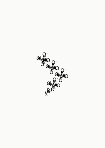 [O]=[Mn](=[O])([O-])[O-].[O]=[Mn](=[O])([O-])[O-].[O]=[Mn](=[O])([O-])[O-].[O]=[Mn](=[O])([O-])[O-].[P+3].[V+5]